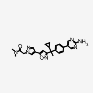 CN(C)C(=O)Cn1cc(-c2cc(C(C)(c3ccc(-c4cnc(N)nc4)cc3)C3CC3)no2)cn1